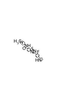 CN1CCC(NC(=O)c2ccc3c(c2)sc2nc(-c4ccc(C5CCCN5)cc4F)cn23)CC1